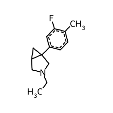 CCN1CC2CC2(c2ccc(C)c(F)c2)C1